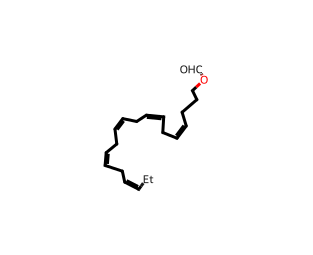 CC/C=C\C/C=C\C/C=C\C/C=C\C/C=C\CCCOC=O